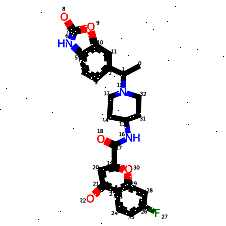 CC(c1ccc2[nH]c(=O)oc2c1)N1CCC(NC(=O)c2cc(=O)c3ccc(F)cc3o2)CC1